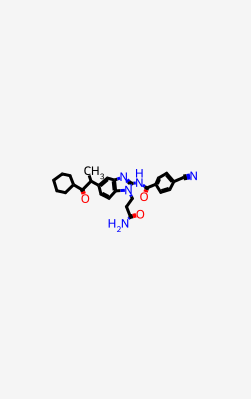 CC(C(=O)C1CCCCC1)c1ccc2c(c1)nc(NC(=O)c1ccc(C#N)cc1)n2CCC(N)=O